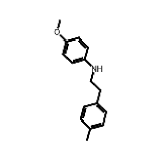 COc1ccc(NCCc2ccc(C)cc2)cc1